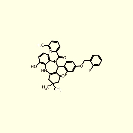 Cc1cccc(C(=O)N2c3cccc(O)c3NC3=C(C(=O)CC(C)(C)C3)C2c2ccc(OCc3ccccc3F)cc2F)n1